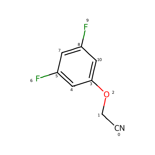 N#CCOc1[c]c(F)cc(F)c1